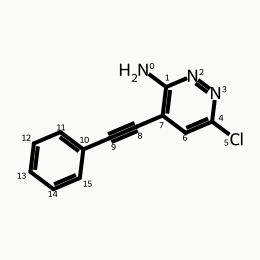 Nc1nnc(Cl)cc1C#Cc1ccccc1